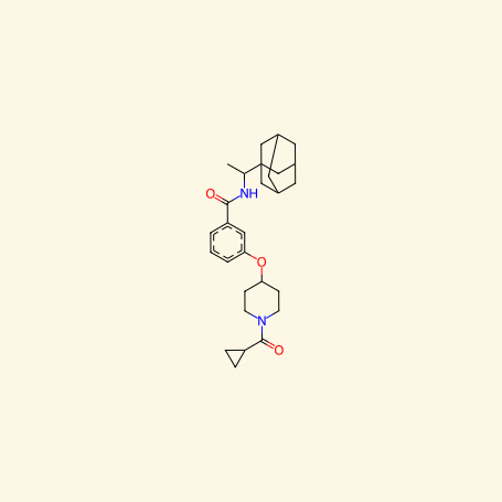 CC(NC(=O)c1cccc(OC2CCN(C(=O)C3CC3)CC2)c1)C12CC3CC(CC(C3)C1)C2